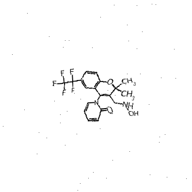 CC1(C)Oc2ccc(C(F)(F)C(F)(F)F)cc2C(n2ccccc2=O)=C1CNO